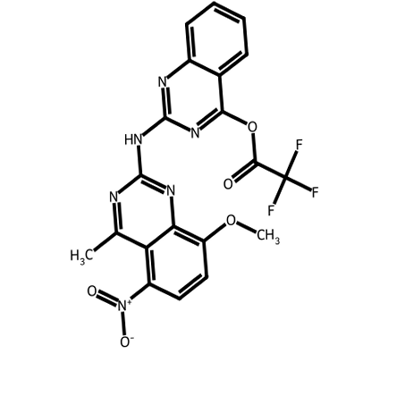 COc1ccc([N+](=O)[O-])c2c(C)nc(Nc3nc(OC(=O)C(F)(F)F)c4ccccc4n3)nc12